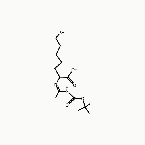 C/C(=N/C(CCCCCS)C(=O)O)NC(=O)OC(C)(C)C